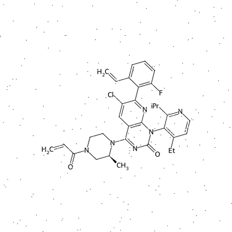 C=CC(=O)N1CCN(c2nc(=O)n(-c3c(CC)ccnc3C(C)C)c3nc(-c4c(F)cccc4C=C)c(Cl)cc23)[C@@H](C)C1